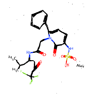 CC(C)C(NC(=O)Cn1c(-c2ccccc2)ccc(NS(=O)(=O)O)c1=O)C(=O)C(F)(F)F.[NaH]